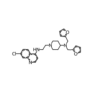 Clc1ccc2c(NCCN3CCC(N(Cc4ccco4)Cc4ccco4)CC3)ccnc2c1